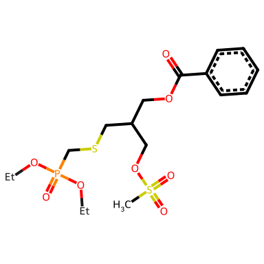 CCOP(=O)(CSCC(COC(=O)c1ccccc1)COS(C)(=O)=O)OCC